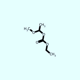 CCOC(=O)OC(C)OC